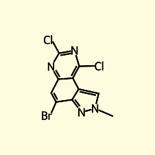 Cn1cc2c(n1)c(Br)cc1nc(Cl)nc(Cl)c12